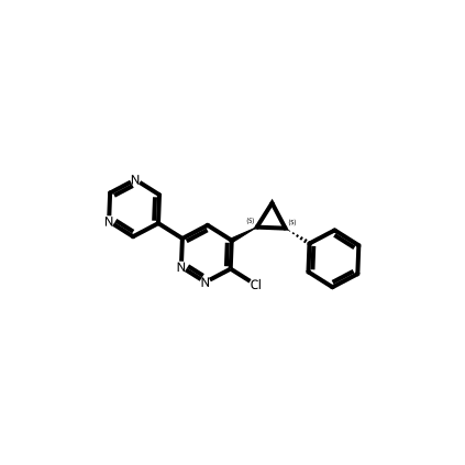 Clc1nnc(-c2cncnc2)cc1[C@H]1C[C@@H]1c1ccccc1